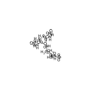 COc1cc2c(cc1OCc1cc(COc3cc4c(cc3OC)C(=O)N3c5ccccc5C[C@H]3CN4)cc(NC(=O)CCC(C)(C)SSCCC(C(=O)NCCN3C(=O)C=CC3=O)S(=O)(=O)O)c1)NC[C@@H]1Cc3ccccc3N1C2=O